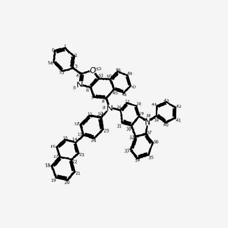 c1ccc(-c2nc3cc(N(c4ccc(-c5ccc6ccccc6c5)cc4)c4ccc5c(c4)c4ccccc4n5-c4ccccc4)c4ccccc4c3o2)cc1